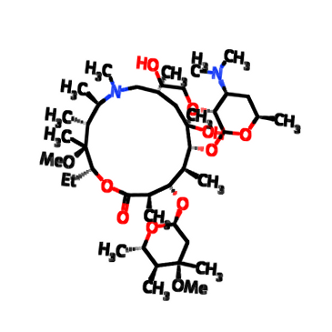 CC[C@H]1OC(=O)[C@H](C)[C@@H](O[C@H]2C[C@@](C)(OC)[C@@H](C)[C@H](C)O2)[C@H](C)[C@@H](OC2O[C@H](C)C[C@H](N(C)C)[C@H]2OCCO)[C@](C)(O)C[C@@H](C)CN(C)[C@H](C)[C@@H](C)[C@]1(C)OC